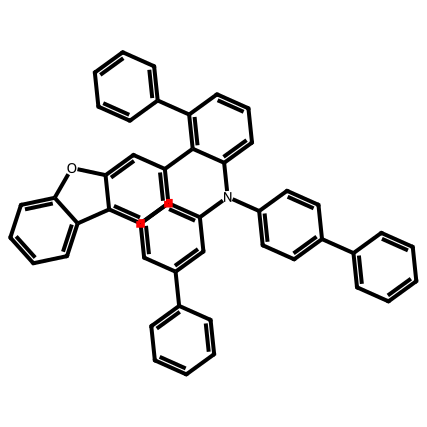 c1ccc(-c2ccc(N(c3cccc(-c4ccccc4)c3)c3cccc(-c4ccccc4)c3-c3ccc4c(c3)oc3ccccc34)cc2)cc1